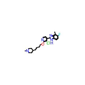 Cc1c(F)ccc2[nH]c(-c3ccnc(OCCCCC4CCN(C)CC4)c3Cl)nc12